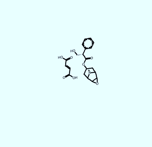 CN1C2CC(OC(=O)[C@H](CO)c3ccccc3)CC1C1OC12.O=C(O)C=CC(=O)O